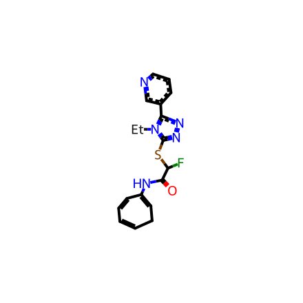 CCn1c(SC(F)C(=O)NC2=CCC=CC=C2)nnc1-c1cccnc1